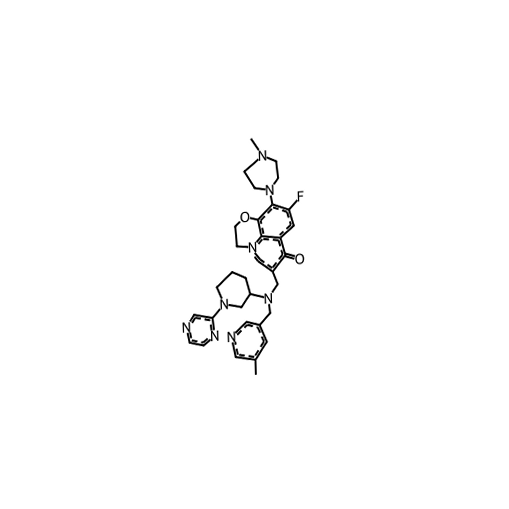 Cc1cncc(CN(Cc2cn3c4c(c(N5CCN(C)CC5)c(F)cc4c2=O)OCC3)C2CCCN(c3cnccn3)C2)c1